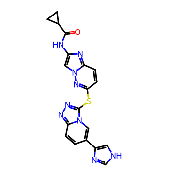 O=C(Nc1cn2nc(Sc3nnc4ccc(-c5c[nH]cn5)cn34)ccc2n1)C1CC1